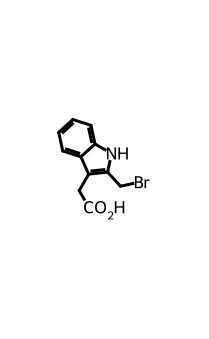 O=C(O)Cc1c(CBr)[nH]c2ccccc12